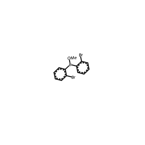 COB(c1ccccc1Br)c1ccccc1Br